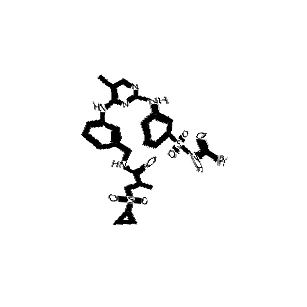 Cc1cnc(Nc2cccc(S(=O)(=O)NC(=O)C(C)C)c2)nc1Nc1cccc(CNC(=O)C(C)CS(=O)(=O)C2CC2)c1